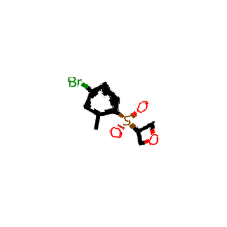 Cc1cc(Br)ccc1S(=O)(=O)C1COC1